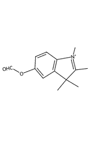 CC1=[N+](C)c2ccc(OC=O)cc2C1(C)C